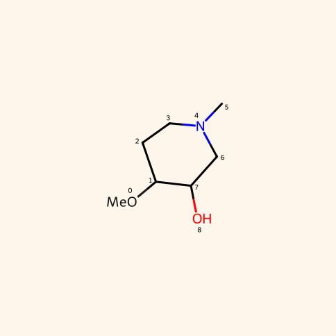 COC1CCN(C)CC1O